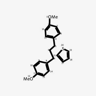 COc1ccc(CCCc2ccc(OC)cc2)cc1.c1ccsc1